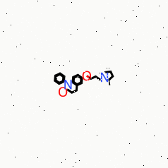 C[C@@H]1CCCN1CCCOc1ccc2c(c1)CCC(=O)N2c1ccccc1